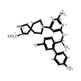 CCOC(=O)[C@@H]1CC2(CCN(c3cc(O[C@H](c4ccc(Cl)cc4-c4ccc(C)cc4)C(F)(F)F)nc(N)n3)CC2)CN1